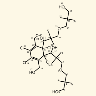 CC(C)(CO)COCC(C)(C)C(O)C1(Cl)C(CO)=C(Cl)C(Cl)=C(CO)C1(Cl)C(O)C(C)(C)COCC(C)(C)CO